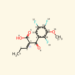 CC/C=C(\C(=O)O)C(=O)c1cc(F)c(F)c(OC)c1F